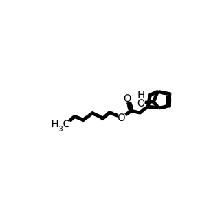 CCCCCCOC(=O)CC1CC2C=CC1C2O